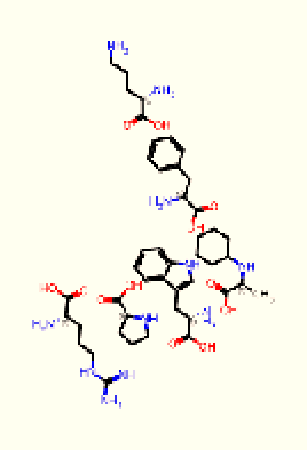 C[C@H](NC1CCCCC1)C(=O)O.N=C(N)NCCC[C@H](N)C(=O)O.NCCC[C@H](N)C(=O)O.N[C@@H](Cc1c[nH]c2ccccc12)C(=O)O.N[C@@H](Cc1ccccc1)C(=O)O.O=C(O)[C@@H]1CCCN1